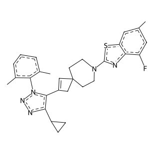 Cc1cc(F)c2nc(N3CCC4(C=C(c5c(C6CC6)nnn5-c5c(C)cccc5C)C4)CC3)sc2c1